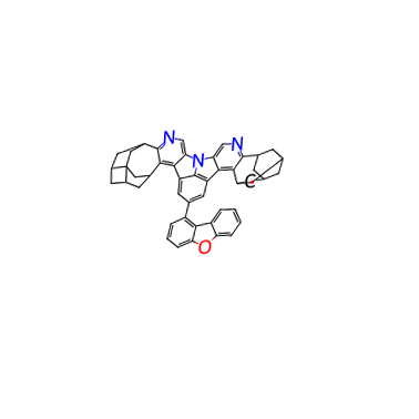 c1ccc2c(c1)oc1cccc(-c3cc4c5c6c(ncc5n5c7cnc8c(c7c(c3)c45)C3CC4CC5CC8CC54C3)C3CC4CC(C3)CC6C4)c12